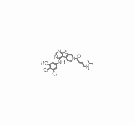 CC(C)N(C)CC=CC(=O)N1CCc2c(sc3ncnc(Nc4cc(O)c(Cl)c(Cl)c4)c23)C1